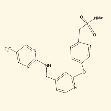 CNS(=O)(=O)Cc1ccc(Oc2cc(CNc3ncc(C(F)(F)F)cn3)ccn2)cc1